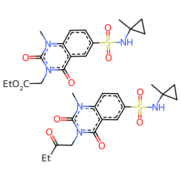 CCC(=O)Cn1c(=O)c2cc(S(=O)(=O)NC3(C)CC3)ccc2n(C)c1=O.CCOC(=O)Cn1c(=O)c2cc(S(=O)(=O)NC3(C)CC3)ccc2n(C)c1=O